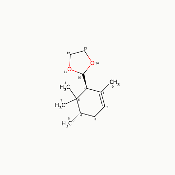 CC1=CC[C@H](C)C(C)(C)[C@H]1C1OCCO1